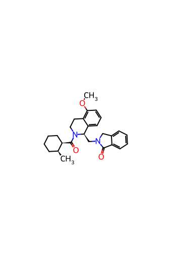 COc1cccc2c1CCN(C(=O)[C@@H]1CCCC[C@@H]1C)[C@@H]2CN1Cc2ccccc2C1=O